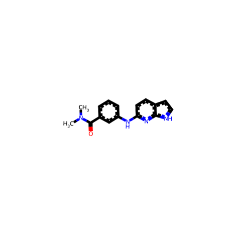 CN(C)C(=O)c1cccc(Nc2ccc3cc[nH]c3n2)c1